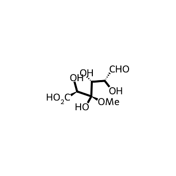 CO[C@@](O)([C@H](O)C(=O)O)[C@H](O)[C@@H](O)C=O